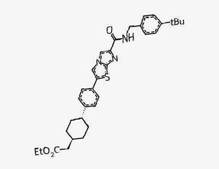 CCOC(=O)C[C@H]1CC[C@H](c2ccc(-c3cn4cc(C(=O)NCc5ccc(C(C)(C)C)cc5)nc4s3)cc2)CC1